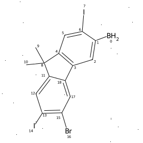 Bc1cc2c(cc1I)C(C)(C)c1cc(I)c(Br)cc1-2